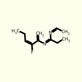 C=C(/N=C(CC)\N=C/C)/C(F)=C\CC